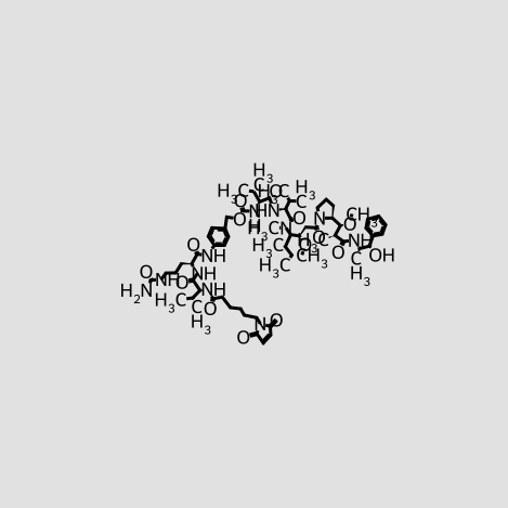 CC[C@H](C)C([C@@H](CC(=O)N1CCC[C@H]1[C@H](OC)[C@@H](C)C(=O)N[C@H](C)[C@@H](O)c1ccccc1)OC)N(C)C(=O)[C@@H](NC(=O)[C@@H](NC(=O)OCc1ccc(NC(=O)[C@H](CCCNC(N)=O)NC(=O)[C@@H](NC(=O)CCCCCN2C(=O)C=CC2=O)C(C)C)cc1)C(C)C)C(C)C